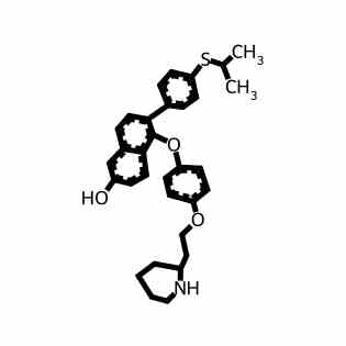 CC(C)Sc1ccc(-c2ccc3cc(O)ccc3c2Oc2ccc(OCCC3CCCCN3)cc2)cc1